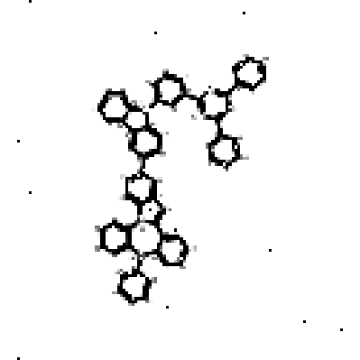 c1ccc(-c2nc(-c3ccccc3)nc(-c3cccc(-n4c5ccccc5c5cc(-c6ccc7c(c6)cc6n7-c7ccccc7N(c7ccccc7)c7ccccc7-6)ccc54)c3)n2)cc1